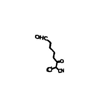 N#CC(Cl)C(=O)CCCCC=O